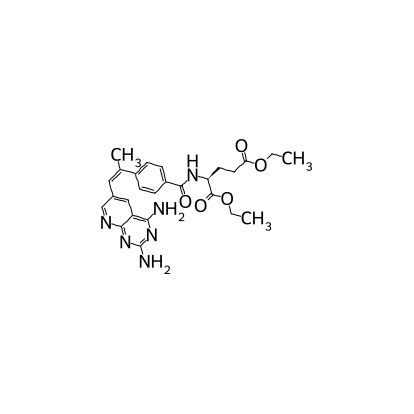 CCOC(=O)CC[C@H](NC(=O)c1ccc(C(C)=Cc2cnc3nc(N)nc(N)c3c2)cc1)C(=O)OCC